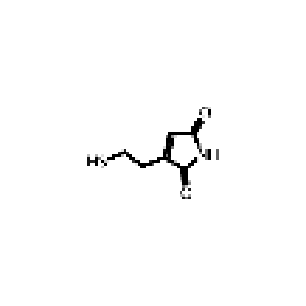 O=C1C=C(CCS)C(=O)N1